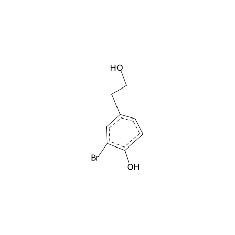 OCCc1ccc(O)c(Br)c1